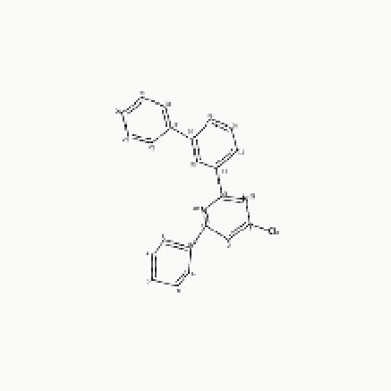 Clc1cc(-c2ccccc2)nc(-c2cccc(-c3ccccc3)c2)n1